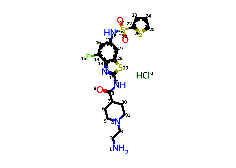 Cl.NCCN1CCC(C(=O)Nc2nc3c(F)cc(NS(=O)(=O)c4cccs4)cc3s2)CC1